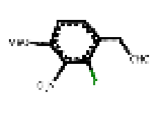 COc1ccc(CC=O)c(F)c1[N+](=O)[O-]